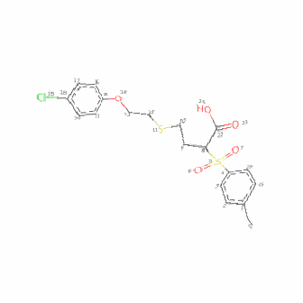 Cc1ccc(S(=O)(=O)C(CCSCCOc2ccc(Cl)cc2)C(=O)O)cc1